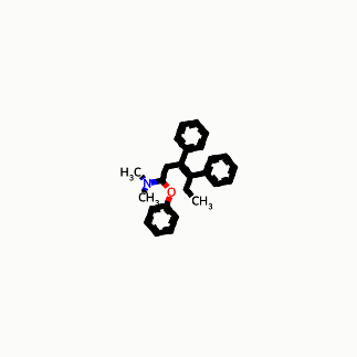 CCC(=C(CC(Oc1ccccc1)N(C)C)c1ccccc1)c1ccccc1